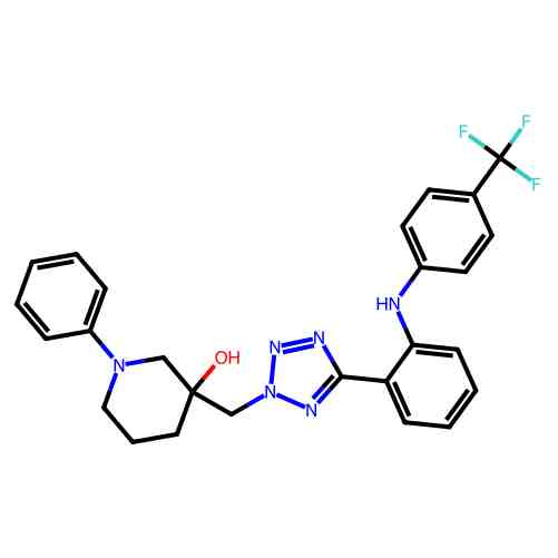 OC1(Cn2nnc(-c3ccccc3Nc3ccc(C(F)(F)F)cc3)n2)CCCN(c2ccccc2)C1